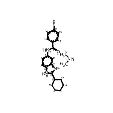 CNC.O=C(Nc1ccc2[nH]c(C3CCCCC3)nc2c1)c1ccc(F)cc1